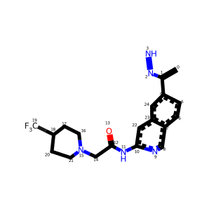 C=C(N=N)c1ccc2cnc(NC(=O)CN3CCC(C(F)(F)F)CC3)cc2c1